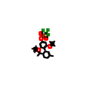 C=C(C)[C@@H]1CCC(C)=C[C@@H]1c1c(O[Si](C)(C)C)cc(OS(=O)(=O)C(F)(F)F)cc1O[Si](C)(C)C